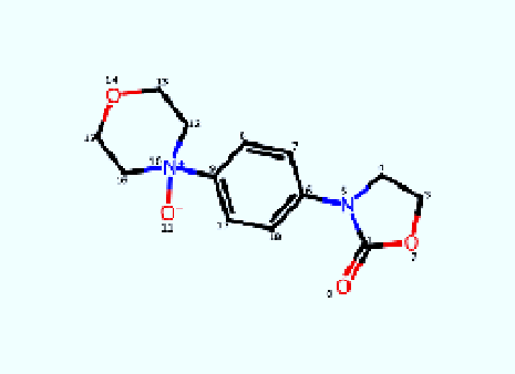 O=C1OCCN1c1ccc([N+]2([O-])CCOCC2)cc1